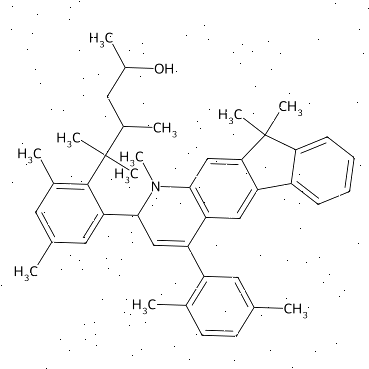 Cc1ccc(C)c(C2=CC(c3cc(C)cc(C)c3C(C)(C)C(C)CC(C)O)N(C)c3cc4c(cc32)-c2ccccc2C4(C)C)c1